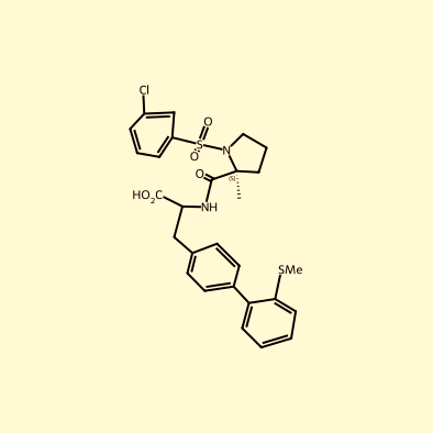 CSc1ccccc1-c1ccc(CC(NC(=O)[C@]2(C)CCCN2S(=O)(=O)c2cccc(Cl)c2)C(=O)O)cc1